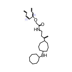 C=C/C=C\C(=C/C=C)OCC(=O)NCCC(=C)C1CCCC(BC2CCCCCCC2)CCC1